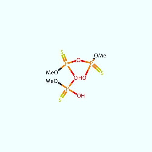 COP(O)(=S)OP(=S)(OC)OP(O)(=S)OC